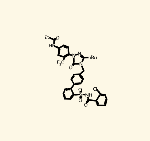 CCCCc1nn(-c2ccc(NC(=O)CC)cc2C(F)(F)F)c(=O)n1Cc1ccc(-c2ccccc2S(=O)(=O)NC(=O)c2ccccc2Cl)cc1